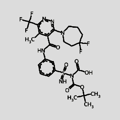 Cc1c(C(F)(F)F)nnc(N2CCCC(F)(F)CC2)c1C(=O)Nc1cccc(S(=N)(=O)N(C(=O)O)C(=O)OC(C)(C)C)c1